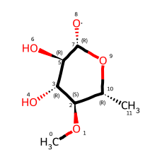 CO[C@H]1[C@H](O)[C@@H](O)[C@H]([O])O[C@@H]1C